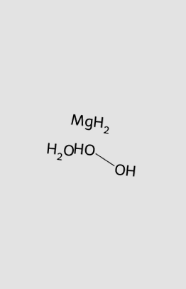 O.OO.[MgH2]